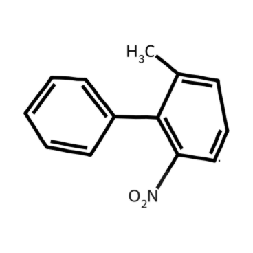 Cc1cc[c]c([N+](=O)[O-])c1-c1ccccc1